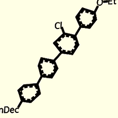 CCCCCCCCCCc1ccc(-c2ccc(-c3ccc(-c4ccc(OCC)cc4)c(Cl)c3)cc2)cc1